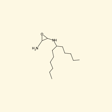 CCCCCCC(CCCCC)NC1OC1N